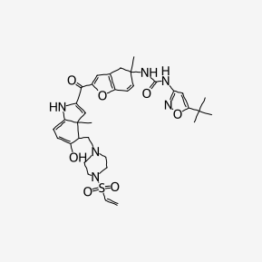 C=CS(=O)(=O)N1CCN(CC2C(O)=CC=C3NC(C(=O)c4cc5c(o4)C=CC(C)(NC(=O)Nc4cc(C(C)(C)C)on4)C5)=CC32C)CC1